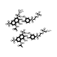 CC(=O)Nc1cc(S(=O)(=O)[O-])cc2cc(S(=O)(=O)[O-])c(N=Nc3ccc(S(=O)(=O)CCOS(=O)(=O)[O-])cc3O)c(O)c12.CC(=O)Nc1cc(S(=O)(=O)[O-])cc2cc(S(=O)(=O)[O-])c(N=Nc3ccc(S(=O)(=O)CCOS(=O)(=O)[O-])cc3O)c(O)c12.[Cu+2].[Cu+2].[Cu+2]